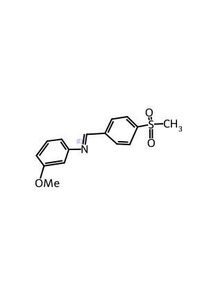 COc1cccc(/N=C/c2ccc(S(C)(=O)=O)cc2)c1